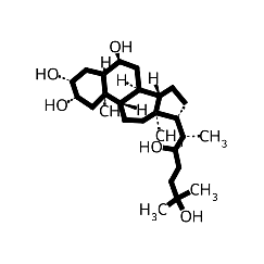 C[C@H](C(O)CCC(C)(C)O)[C@H]1CC[C@H]2[C@@H]3C[C@H](O)[C@@H]4C[C@@H](O)[C@@H](O)C[C@]4(C)[C@H]3CC[C@]12C